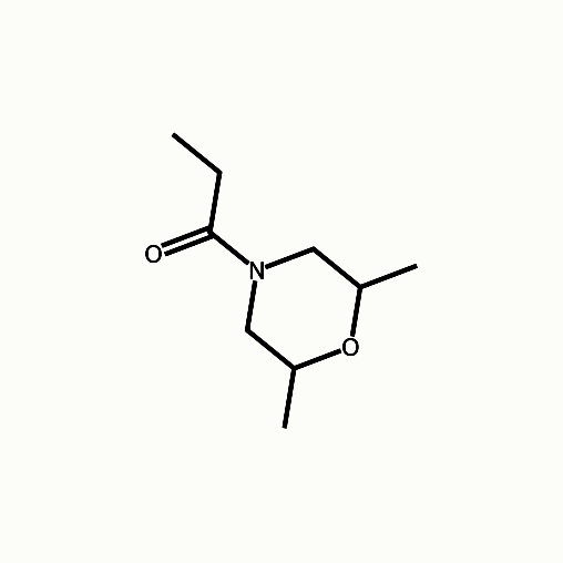 CCC(=O)N1CC(C)OC(C)C1